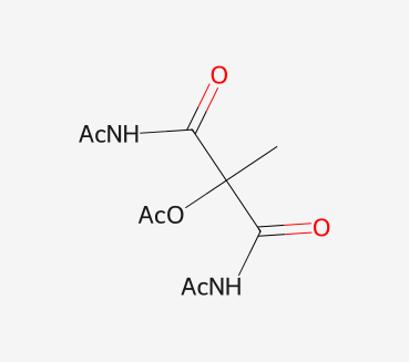 CC(=O)NC(=O)C(C)(OC(C)=O)C(=O)NC(C)=O